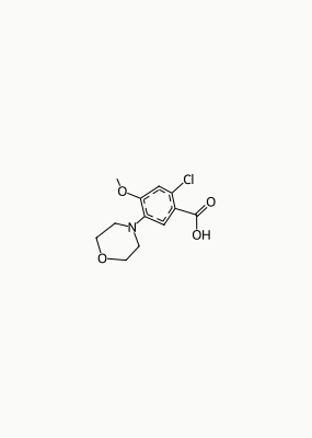 COc1cc(Cl)c(C(=O)O)cc1N1CCOCC1